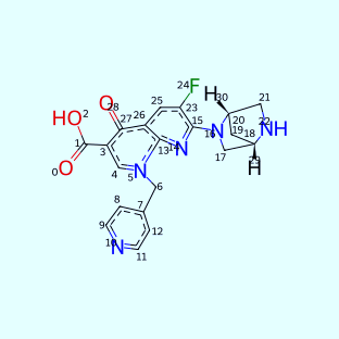 O=C(O)c1cn(Cc2ccncc2)c2nc(N3C[C@@H]4C[C@H]3CN4)c(F)cc2c1=O